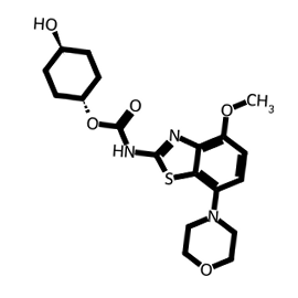 COc1ccc(N2CCOCC2)c2sc(NC(=O)O[C@H]3CC[C@H](O)CC3)nc12